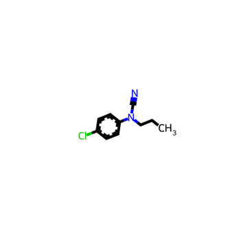 CCCN(C#N)c1ccc(Cl)cc1